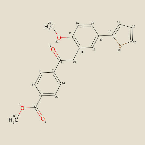 COC(=O)c1ccc(C(=O)Cc2cc(-c3cccs3)ccc2OC)cc1